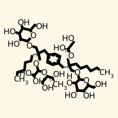 CCCCCC[C@](COC(OC(CO)[C@H](C)O)C(O)O)(COC1OC(CO)C(O)C(O)C1O)Cc1ccc(C[C@](CCCCCC)(COC2OC(CO)C(O)C(O)C2O)CO[C@H](O)CO)cc1